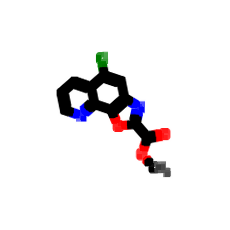 COC(=O)c1nc2cc(Cl)c3cccnc3c2o1